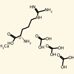 N=C(N)NCCC[C@H](N)C(=O)O.O=C(O)O.O=C(O)O.O=C(O)O.[CaH2]